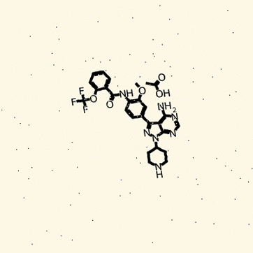 CC(=O)O.COc1cc(-c2nn(C3CCNCC3)c3ncnc(N)c23)ccc1NC(=O)c1ccccc1OC(F)(F)F